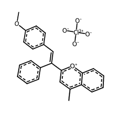 COc1ccc(C=C(c2ccccc2)c2cc(C)c3ccccc3[o+]2)cc1.[O-][Cl+3]([O-])([O-])[O-]